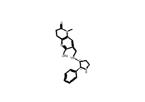 COc1nc2c(cc1CN[C@H]1CCN[C@H]1c1ccccc1)N(C)C(=O)CC2